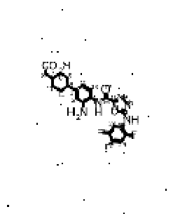 Nc1cc(C2CCC(CC(=O)O)CC2)ccc1NC(=O)c1nnc(Nc2cc(F)c(F)cc2F)o1